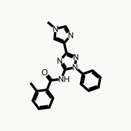 Cc1ccccc1C(=O)Nc1nc(-c2cn(C)cn2)nn1-c1ccccc1